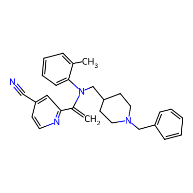 C=C(c1cc(C#N)ccn1)N(CC1CCN(Cc2ccccc2)CC1)c1ccccc1C